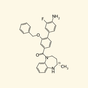 C[C@H]1CCN(C(=O)c2ccc(-c3ccc(N)c(F)c3)c(OCc3ccccc3)c2)c2ccccc2N1